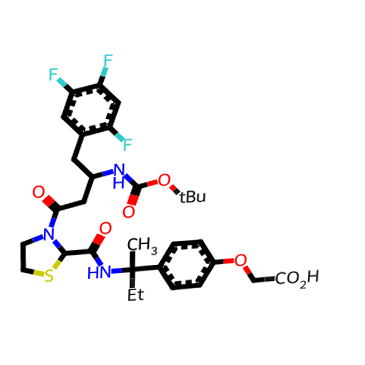 CCC(C)(NC(=O)C1SCCN1C(=O)CC(Cc1cc(F)c(F)cc1F)NC(=O)OC(C)(C)C)c1ccc(OCC(=O)O)cc1